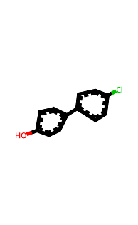 Oc1c[c]c(-c2ccc(Cl)cc2)cc1